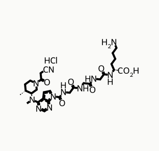 C[C@@H]1CCN(C(=O)CC#N)C[C@@H]1N(C)c1ncnc2c1ccn2C(=O)NCC(=O)NCC(=O)NCC(=O)N[C@H](CCCCN)C(=O)O.Cl